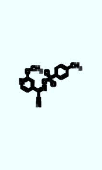 COc1cc(/C(C#N)=N\OS(=O)(=O)c2ccc(C)cc2)ccn1